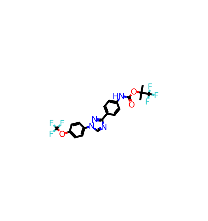 CC(C)(OC(=O)Nc1ccc(-c2ncn(-c3ccc(OC(F)(F)F)cc3)n2)cc1)C(F)(F)F